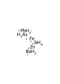 [AsH3].[BaH2].[Fe].[PbH2].[SiH4].[Zn]